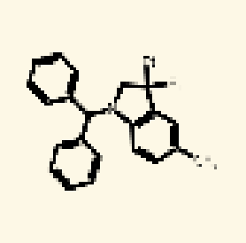 CCC1(CC)CN(C(c2ccccc2)c2ccccc2)c2ccc(C(F)(F)F)cc21